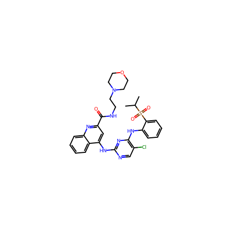 CC(C)S(=O)(=O)c1ccccc1Nc1nc(Nc2cc(C(=O)NCCN3CCOCC3)nc3ccccc23)ncc1Cl